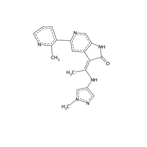 C/C(Nc1cnn(C)c1)=C1/C(=O)Nc2cnc(-c3cccnc3C)cc21